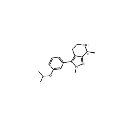 CC(C)Oc1cccc(-c2c3c(nn2C)[C@H](C)NCC3)c1